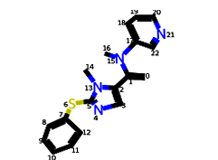 C=C(c1cnc(Sc2ccccc2)n1C)N(C)c1cccnc1